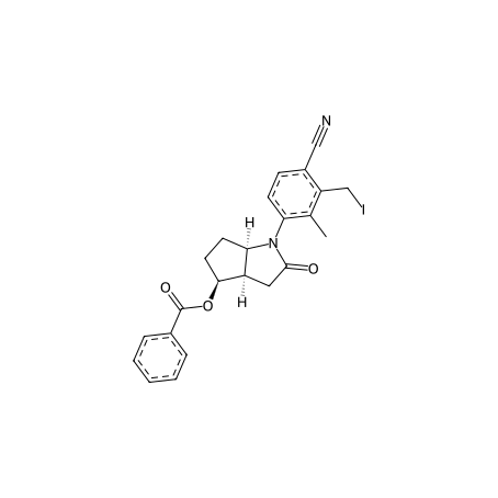 Cc1c(N2C(=O)C[C@H]3[C@@H](OC(=O)c4ccccc4)CC[C@H]32)ccc(C#N)c1CI